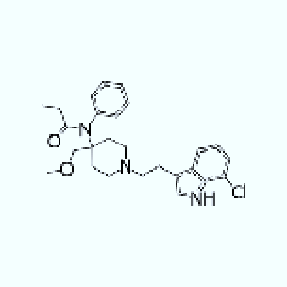 CCC(=O)N(c1ccccc1)C1(COC)CCN(CCc2c[nH]c3c(Cl)cccc23)CC1